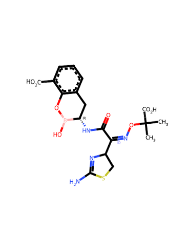 CC(C)(O/N=C(\C(=O)N[C@H]1Cc2cccc(C(=O)O)c2OB1O)C1CSC(N)=N1)C(=O)O